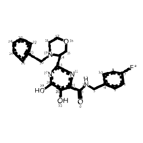 O=C(NCc1ccc(F)cc1)c1nc(C2COCCN2Cc2ccccc2)nc(O)c1O